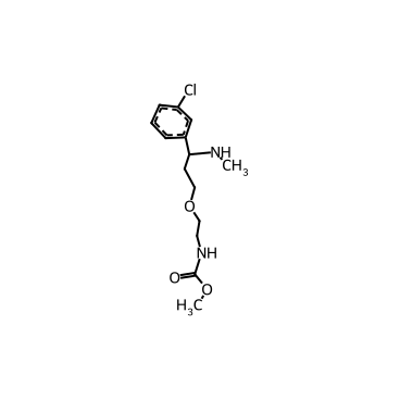 CNC(CCOCCNC(=O)OC)c1cccc(Cl)c1